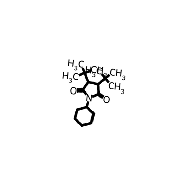 CC(C)(C)C1C(=O)N(C2CCCCC2)C(=O)C1C(C)(C)C